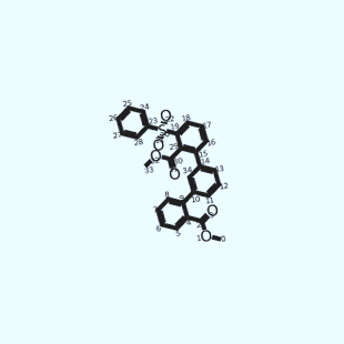 COC(=O)c1ccccc1-c1cccc(-c2cccc(S(=O)(=O)c3ccccc3)c2C(=O)OC)c1